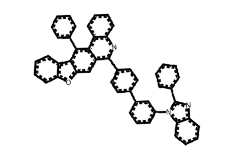 c1ccc(-c2c3c(cc4c(-c5ccc(-c6cccc(-n7c(-c8ccccc8)nc8ccccc87)c6)cc5)nc5ccccc5c24)oc2ccccc23)cc1